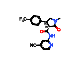 CN1C[C@H](c2ccc(C(F)(F)F)cc2)[C@@H](C(=O)Nc2cc(C#N)ccn2)C1=O